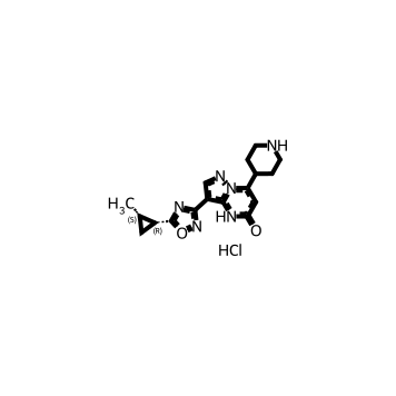 C[C@H]1C[C@H]1c1nc(-c2cnn3c(C4CCNCC4)cc(=O)[nH]c23)no1.Cl